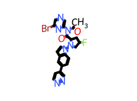 CC(=O)N(C(=O)C1CC(F)CN1n1ccc2cc(-c3ccnnc3)ccc21)c1cncc(Br)n1